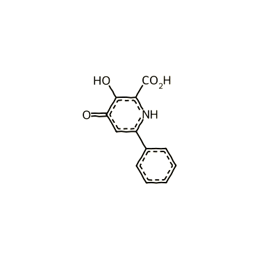 O=C(O)c1[nH]c(-c2ccccc2)cc(=O)c1O